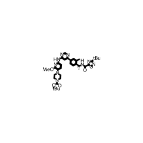 COc1nc(Nc2cc(-c3ccc([C@@H](C)NC(=O)c4nc(C(C)(C)C)no4)c(C)c3)ncn2)ccc1N1CCN(C(=O)OC(C)(C)C)CC1